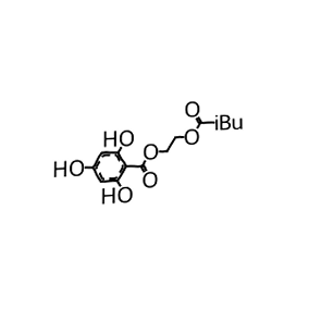 CCC(C)C(=O)OCCOC(=O)c1c(O)cc(O)cc1O